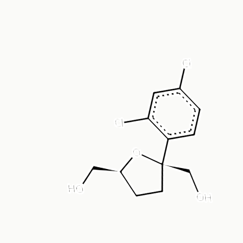 OC[C@@H]1CC[C@@](CO)(c2ccc(Cl)cc2Cl)O1